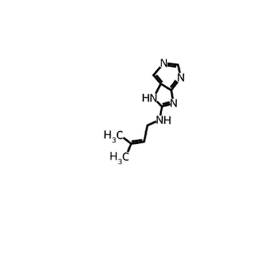 CC(C)=CCNc1nc2ncncc2[nH]1